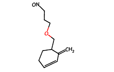 C=C1C=CCCC1COCCCN=O